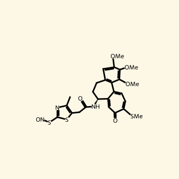 COc1cc2c(c(OC)c1OC)-c1ccc(SC)c(=O)cc1[C@@H](NC(=O)Cc1sc(SN=O)nc1C)CC2